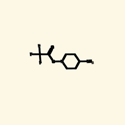 NC1CCN(OC(=O)C(F)(F)F)CC1